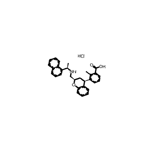 Cc1c(C(=O)O)cccc1[C@@H]1C[C@H](CN[C@H](C)c2cccc3ccccc23)Oc2ccccc21.Cl